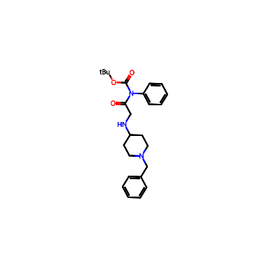 CC(C)(C)OC(=O)N(C(=O)CNC1CCN(Cc2ccccc2)CC1)c1ccccc1